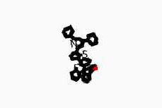 c1ccc(-c2cc(-c3ccccc3)nc(-c3cccc4c3sc3ccc5c(c34)Sc3ccccc3C53c4ccccc4-c4ccccc43)c2)cc1